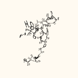 C[C@@H]1Cc2c([nH]c3ccccc23)[C@@H](c2ccc(OCCN3CC(CF)C3)cc2F)N1C(=O)C(C)(C)F